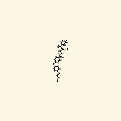 COCCOc1ccc(Oc2ccc(S(=O)(=O)CCN(O)C(=O)[C@@H]3COC(C)(C)O3)cc2)cc1